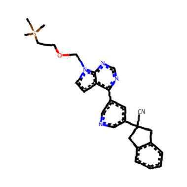 CS(C)(C)CCOCn1ccc2c(-c3cncc(C4(C#N)Cc5ccccc5C4)c3)ncnc21